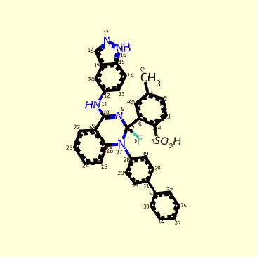 Cc1ccc(S(=O)(=O)O)c(C2(F)N=C(Nc3ccc4[nH]ncc4c3)c3ccccc3N2c2ccc(-c3ccccc3)cc2)c1